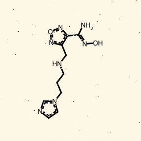 NC(=NO)c1nonc1CNCCCn1ccnc1